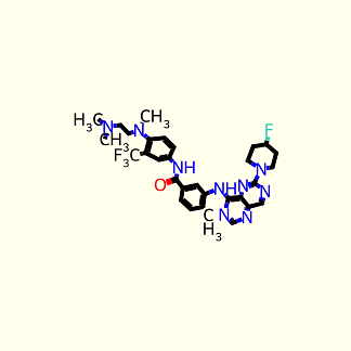 Cc1ccc(C(=O)Nc2ccc(N(C)CCN(C)C)c(C(F)(F)F)c2)cc1Nc1ncnc2cnc(N3CCC(F)CC3)nc12